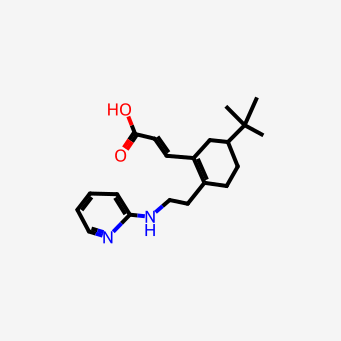 CC(C)(C)C1CCC(CCNc2ccccn2)=C(/C=C/C(=O)O)C1